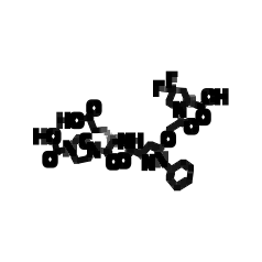 O=C(O)CC[C@H](NC(=O)c1cc(OCC(=O)N2CC(F)(F)C[C@H]2C(=O)O)n(-c2ccccc2)n1)C(=O)N1CCN(C(=O)O)CC1